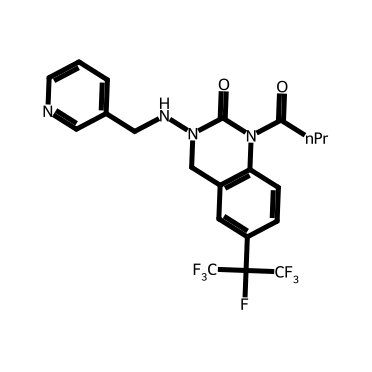 CCCC(=O)N1C(=O)N(NCc2cccnc2)Cc2cc(C(F)(C(F)(F)F)C(F)(F)F)ccc21